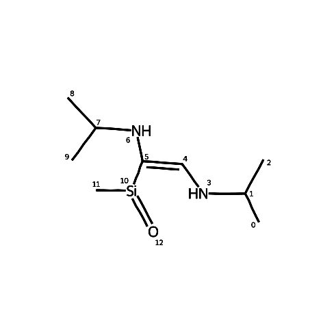 CC(C)NC=C(NC(C)C)[Si](C)=O